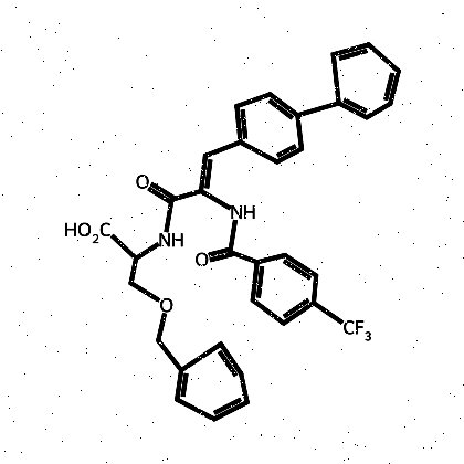 O=C(NC(COCc1ccccc1)C(=O)O)C(=Cc1ccc(-c2ccccc2)cc1)NC(=O)c1ccc(C(F)(F)F)cc1